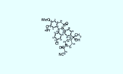 COc1cc2c(cc1OC(C)C)[C@H](c1ccc(Cl)cc1)N(c1ccc(C(C)(O)C3CCN(C(=O)CC#N)CC3)cc1)C(=O)C2